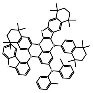 Cc1ccccc1N(c1cc2c3c(c1)N(c1cccc4sc5ccccc5c14)c1cc4c(cc1B3c1sc3cc5c(cc3c1N2c1ccc2c(c1)C(C)(C)CCC2(C)C)C(C)(C)CCC5(C)C)C(C)(C)CCC4(C)C)c1ccccc1C